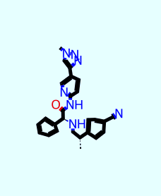 C[C@H](CN[C@@H](C(=O)Nc1ccc(-c2cn(C)nn2)cn1)c1ccccc1)c1ccc(C#N)cc1